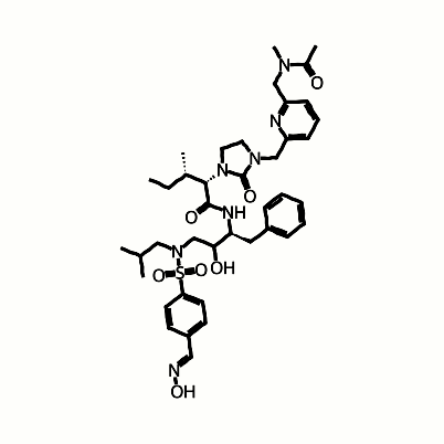 CC[C@H](C)[C@@H](C(=O)N[C@@H](Cc1ccccc1)C(O)CN(CC(C)C)S(=O)(=O)c1ccc(/C=N/O)cc1)N1CCN(Cc2cccc(CN(C)C(C)=O)n2)C1=O